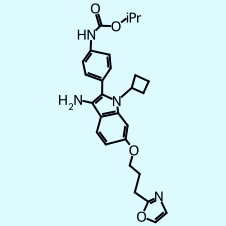 CC(C)OC(=O)Nc1ccc(-c2c(N)c3ccc(OCCCc4ncco4)cc3n2C2CCC2)cc1